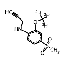 [2H]C([2H])([2H])Oc1cc(S(C)(=O)=O)ccc1NCC#C